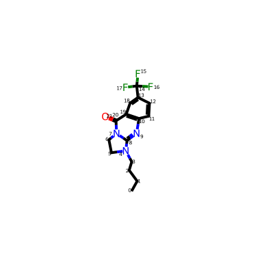 CCCCN1CCn2c1nc1ccc(C(F)(F)F)cc1c2=O